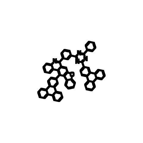 c1ccc(-c2nc(-c3cccc(-c4nc5ccccc5c5c(-c6ccc7c8ccccc8c8ccccc8c7c6)c6c(cc45)oc4ccccc46)c3)nc(-c3ccc4c5ccccc5c5ccccc5c4c3)n2)cc1